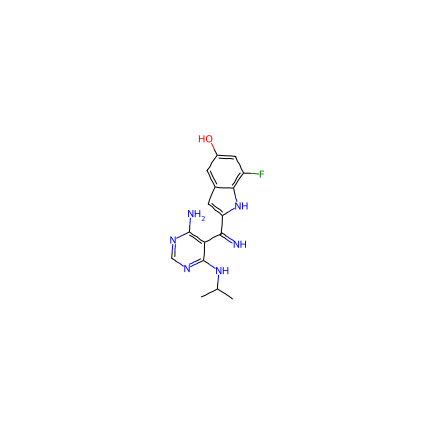 CC(C)Nc1ncnc(N)c1C(=N)c1cc2cc(O)cc(F)c2[nH]1